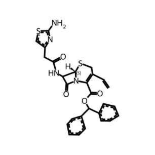 C=CC1=C(C(=O)OC(c2ccccc2)c2ccccc2)N2C(=O)C(NC(=O)Cc3csc(N)n3)[C@@H]2SC1